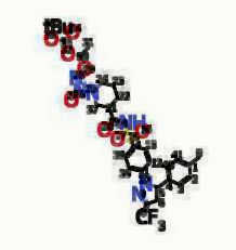 Cc1ccc(-c2cc(C(F)(F)F)nn2-c2ccc(S(=O)(=O)NC(=O)C3CCCN(/[N+]([O-])=N\OC(C)OC(=O)OC(C)(C)C)C3)cc2)cc1